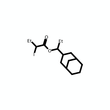 CCC(I)C(=O)OC(CC)C1CC2CCCC(C2)C1